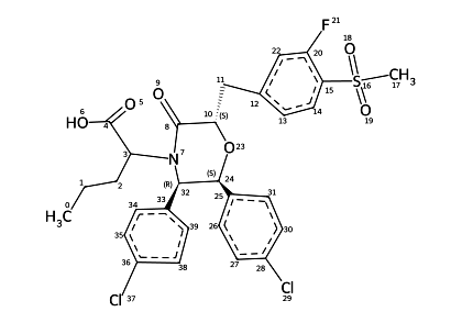 CCCC(C(=O)O)N1C(=O)[C@H](Cc2ccc(S(C)(=O)=O)c(F)c2)O[C@@H](c2ccc(Cl)cc2)[C@H]1c1ccc(Cl)cc1